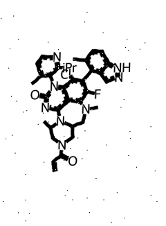 C=CC(=O)N1CC(C)N2c3nc(=O)n(-c4c(C)ccnc4C(C)C)c4c(Cl)c(-c5c(C)ccc6[nH]ncc56)c(F)c(c34)N(C)CC2C1